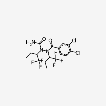 CCC(N(C(N)=O)N(C(=O)c1ccc(Cl)c(Cl)c1)C(CC)C(F)(F)F)C(F)(F)F